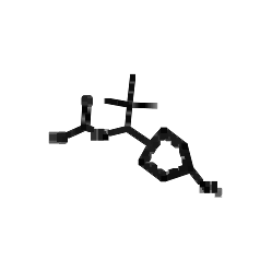 CC(C)(C)C(NC(=O)O)c1ccc(N)cc1